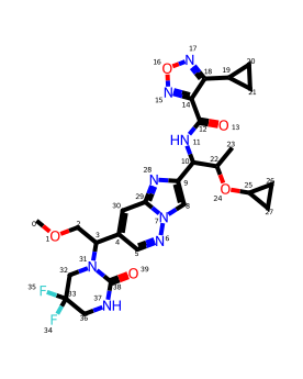 COCC(c1cnn2cc(C(NC(=O)c3nonc3C3CC3)C(C)OC3CC3)nc2c1)N1CC(F)(F)CNC1=O